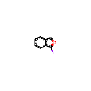 Ic1occ2ccccc12